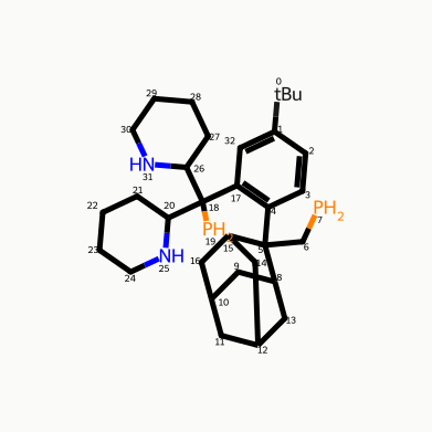 CC(C)(C)c1ccc(C2(CP)C3CC4CC(C3)CC2C4)c(C(P)(C2CCCCN2)C2CCCCN2)c1